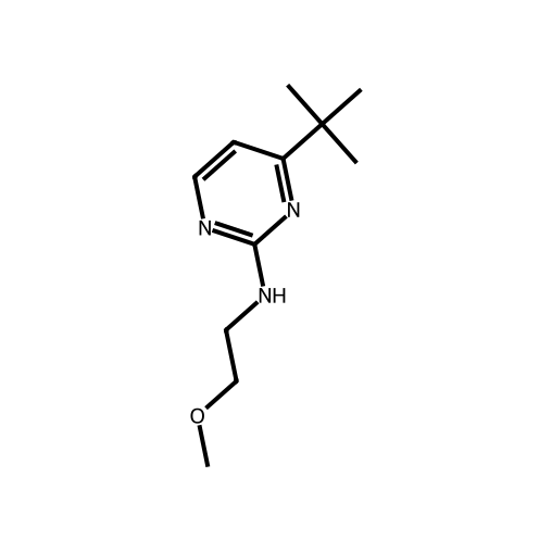 COCCNc1nccc(C(C)(C)C)n1